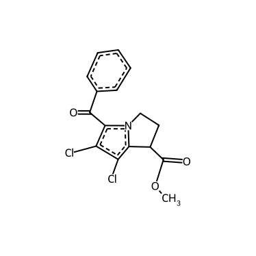 COC(=O)C1CCn2c(C(=O)c3ccccc3)c(Cl)c(Cl)c21